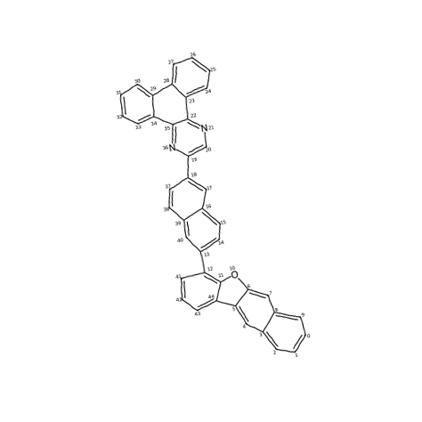 c1ccc2cc3c(cc2c1)oc1c(-c2ccc4cc(-c5cnc6c7ccccc7c7ccccc7c6n5)ccc4c2)cccc13